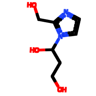 OCCC(O)n1ccnc1CO